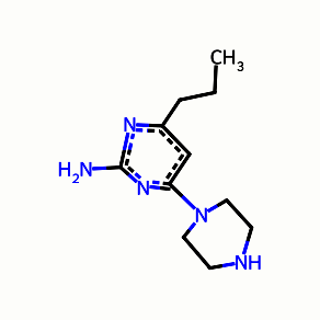 CCCc1cc(N2CCNCC2)nc(N)n1